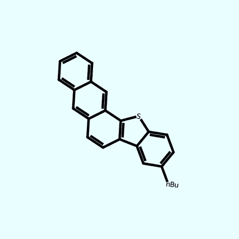 CCCCc1ccc2sc3c4cc5ccccc5cc4ccc3c2c1